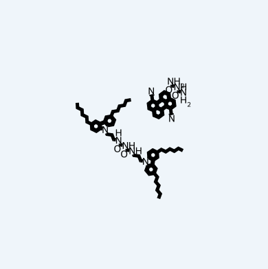 CCCCCCc1ccc2c(c1)c1cc(CCCCCC)ccc1n2CCCNC(=O)NC(=O)NCCCn1c2ccc(CCCCCC)cc2c2cc(CCCCCC)ccc21.N#Cc1ccc2cccc3c4c(C#N)ccc5cccc(c1c23)c54.NC(=O)NC(N)=O